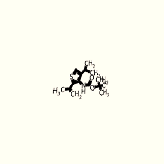 C=C(C)c1csc(C(=C)C)c1NC(=O)OC(C)(C)C